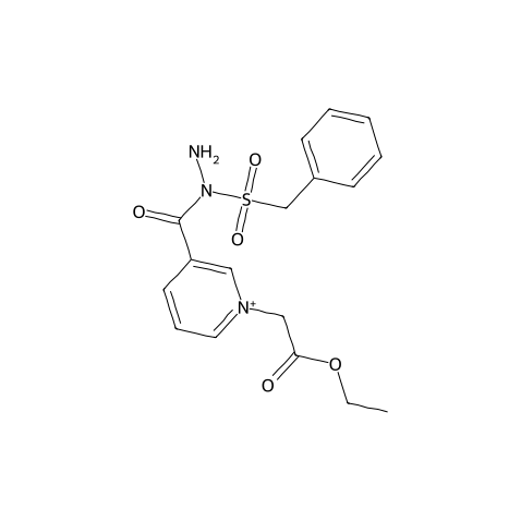 CCOC(=O)C[n+]1cccc(C(=O)N(N)S(=O)(=O)Cc2ccccc2)c1